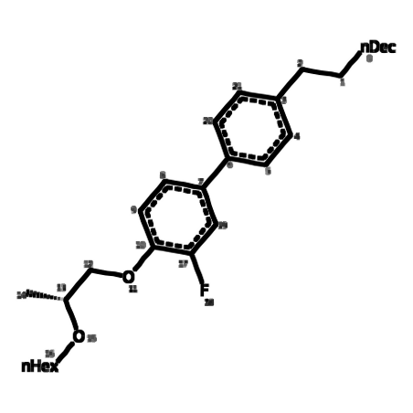 CCCCCCCCCCCCc1ccc(-c2ccc(OC[C@@H](C)OCCCCCC)c(F)c2)cc1